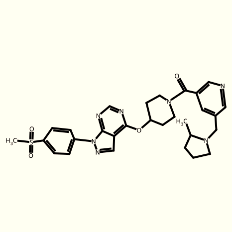 CC1CCCN1Cc1cncc(C(=O)N2CCC(Oc3ncnc4c3cnn4-c3ccc(S(C)(=O)=O)cc3)CC2)c1